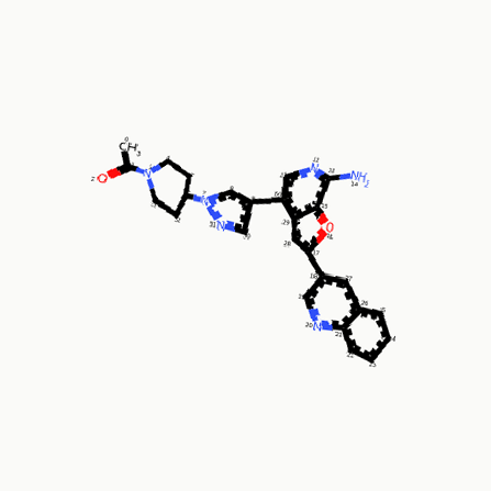 CC(=O)N1CCC(n2cc(-c3cnc(N)c4oc(-c5cnc6ccccc6c5)cc34)cn2)CC1